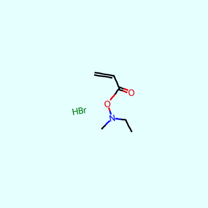 Br.C=CC(=O)ON(C)CC